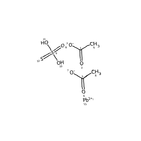 CC(=O)[O-].CC(=O)[O-].O=S(O)(O)=S.[Pb+2]